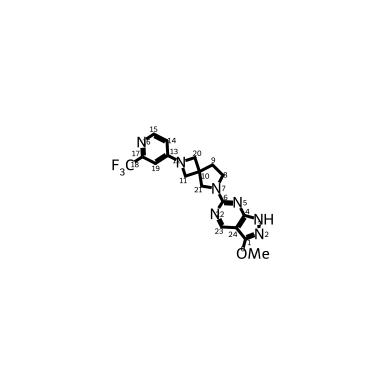 COc1n[nH]c2nc(N3CCC4(CN(c5ccnc(C(F)(F)F)c5)C4)C3)ncc12